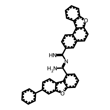 N=C(/N=C(\N)c1cccc2oc3cc(-c4ccccc4)ccc3c12)c1ccc2c(ccc3oc4ccccc4c32)c1